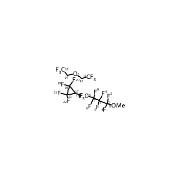 COC(F)(F)C(F)(F)C(F)(F)C(F)(F)F.FC(F)(F)COCC(F)(F)F.FC1C(F)(F)C1(F)F